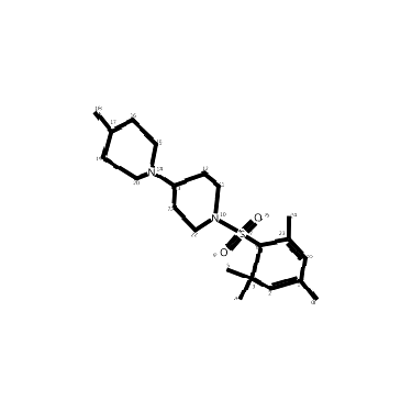 CC1=CC(C)(C)C(S(=O)(=O)N2CCC(N3CCC(C)CC3)CC2)C(C)=C1